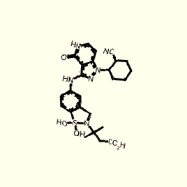 CC(C)(CC(=O)O)N1Cc2cc(Nc3nn(C4CCCCC4C#N)c4cc[nH]c(=O)c34)ccc2S1(O)O